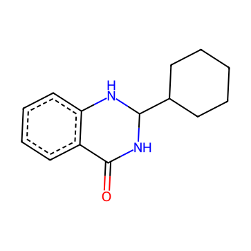 O=C1NC(C2CCCCC2)Nc2ccccc21